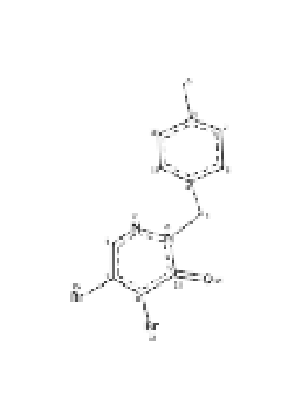 Cc1ccc(Cn2ncc(Br)c(Br)c2=O)cc1